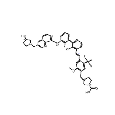 COc1cc(/C=C/c2ccnc(-c3cccc(Nc4nccc5cc(CN6CC[C@@H](O)C6)cnc45)c3C)c2Cl)c(C(F)(F)F)cc1CN1CC[C@@H](C(=O)O)C1